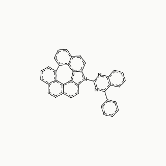 c1ccc(-c2nc(-n3c4ccc5cccc6c5c4c4c5c(ccc7cccc-6c75)ccc43)nc3ccccc23)cc1